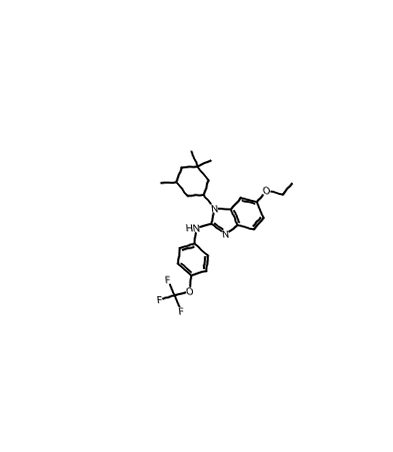 CCOc1ccc2nc(Nc3ccc(OC(F)(F)F)cc3)n(C3CC(C)CC(C)(C)C3)c2c1